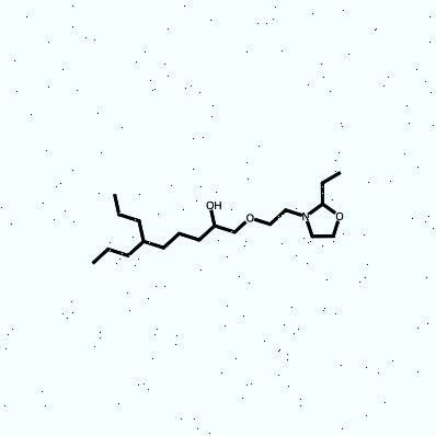 CCCC(CCC)CCCC(O)COCCN1CCOC1CC